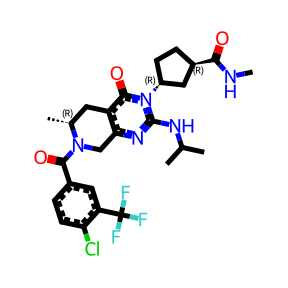 CNC(=O)[C@@H]1CC[C@@H](n2c(NC(C)C)nc3c(c2=O)C[C@@H](C)N(C(=O)c2ccc(Cl)c(C(F)(F)F)c2)C3)C1